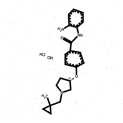 CC1(CN2CC[C@H](Oc3ccc(C(=O)Nc4ccccc4N)cc3)C2)CC1.Cl.Cl